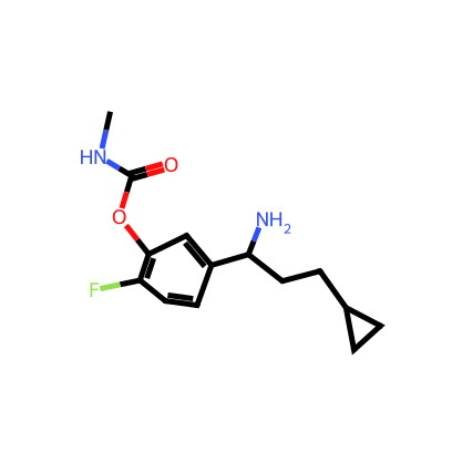 CNC(=O)Oc1cc(C(N)CCC2CC2)ccc1F